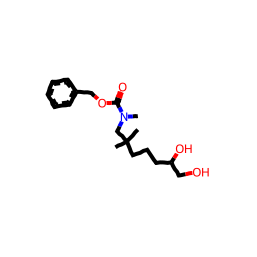 CN(CC(C)(C)CCCC(O)CO)C(=O)OCc1ccccc1